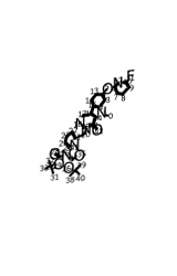 Cn1c2cc(Oc3cccc(F)n3)ccc2c2cnn(Cc3cccc(N(C(=O)OC(C)(C)C)C(=O)OC(C)(C)C)n3)c(=O)c21